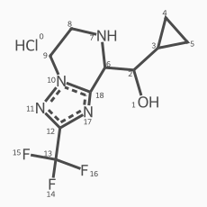 Cl.OC(C1CC1)C1NCCn2nc(C(F)(F)F)nc21